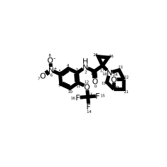 O=C(Nc1cc([N+](=O)[O-])ccc1OC(F)(F)F)C1(N2CC3CC(C2)O3)CC1